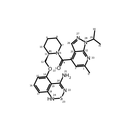 Cc1cc(C(=O)N2CCCC[C@@H]2COc2cccc3c2C(N)=NSN3)c2cnn(C(C)C)c2n1